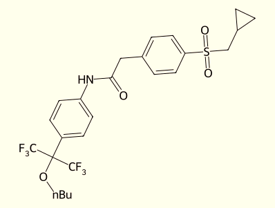 CCCCOC(c1ccc(NC(=O)Cc2ccc(S(=O)(=O)CC3CC3)cc2)cc1)(C(F)(F)F)C(F)(F)F